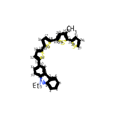 CCn1c2ccccc2c2cc(-c3ccc(-c4ccc(-c5cc(C)c(-c6cccs6)s5)s4)s3)ccc21